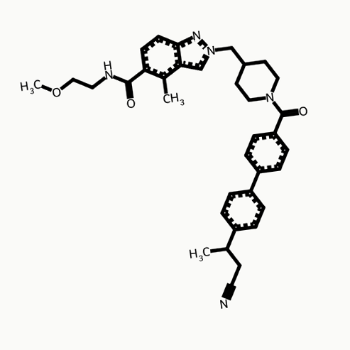 COCCNC(=O)c1ccc2nn(CC3CCN(C(=O)c4ccc(-c5ccc(C(C)CC#N)cc5)cc4)CC3)cc2c1C